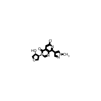 Cn1cc(-c2nc(Cl)cc3c(=O)n([C@H]4COC[C@@H]4O)cnc23)cn1